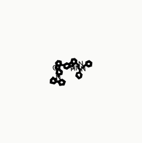 C1=CCC(C2N=C(c3ccccc3)N=C(c3cccc4c3sc3ccc(-c5cccc6oc7cc(-n8c9ccccc9c9ccccc98)ccc7c56)cc34)N2)C=C1